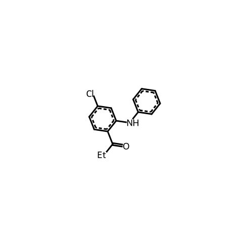 [CH2]CC(=O)c1ccc(Cl)cc1Nc1ccccc1